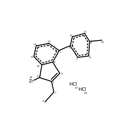 CCC1=Cc2c(-c3ccc(C)cc3)cccc2[CH]1[Zr].Cl.Cl